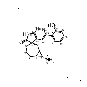 N[C@@H]1C2CCCC3(CC21)C(=O)Nc1nnc(-c2ccccc2O)cc13